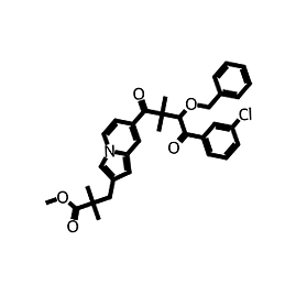 COC(=O)C(C)(C)Cc1cc2cc(C(=O)C(C)(C)C(OCc3ccccc3)C(=O)c3cccc(Cl)c3)ccn2c1